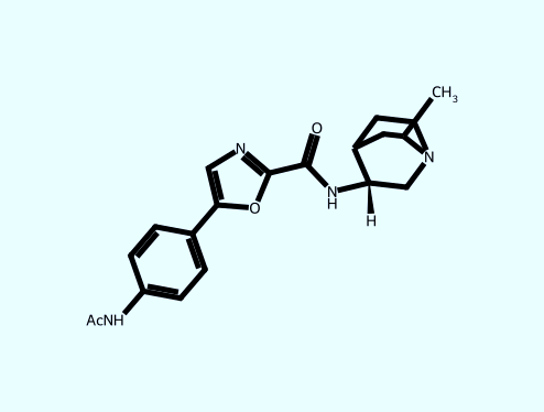 CC(=O)Nc1ccc(-c2cnc(C(=O)N[C@H]3CN4CCC3CC4C)o2)cc1